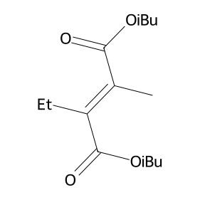 CCC(C(=O)OCC(C)C)=C(C)C(=O)OCC(C)C